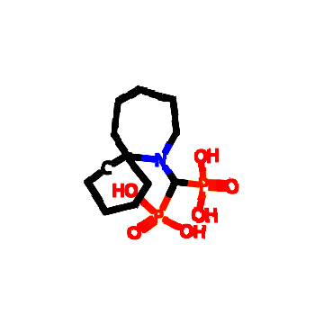 O=P(O)(O)C(N1CCCCCC12CCCCC2)P(=O)(O)O